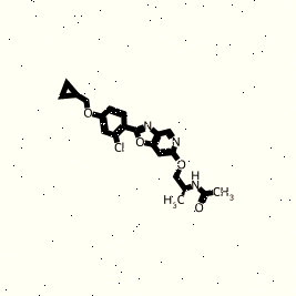 CC(=O)N[C@@H](C)COc1cc2oc(-c3ccc(OCC4CC4)cc3Cl)nc2cn1